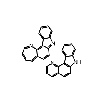 c1ccc2ccc3nc4ccccc4c3c2nc1.c1cnc2c(c1)ccc1[nH]c3ccccc3c12